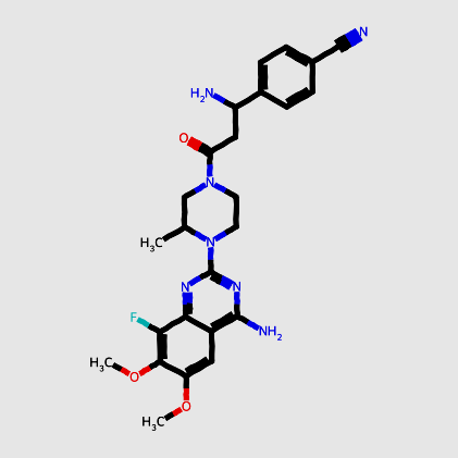 COc1cc2c(N)nc(N3CCN(C(=O)CC(N)c4ccc(C#N)cc4)CC3C)nc2c(F)c1OC